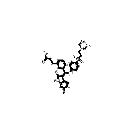 CCN(CC)CCS(=O)(=O)c1ccc(NC(=C2C(=O)Nc3cc(F)ccc32)c2cccc(CCC(=O)O)c2)cc1